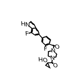 O=C(c1ccc(-c2cc(F)c3[nH]ccc3c2)cc1F)N1CCN(C(=O)C2(O)CC2)CC1